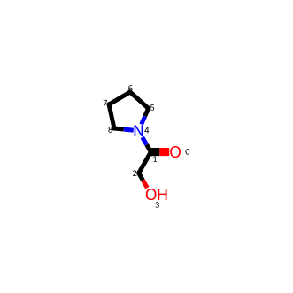 O=C(CO)N1[CH]CCC1